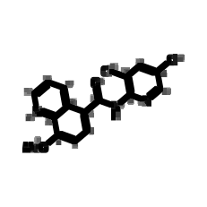 COc1ccc(C(=O)Nc2ncc(Cl)cc2Cl)c2cccnc12